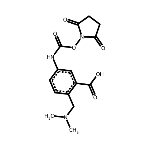 CN(C)Cc1ccc(NC(=O)ON2C(=O)CCC2=O)cc1C(=O)O